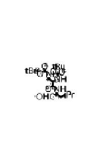 CC(C)CC([C]=O)NC(=O)C(CNC(=O)OC(C)(C)C)NC(=O)OC(C)(C)C